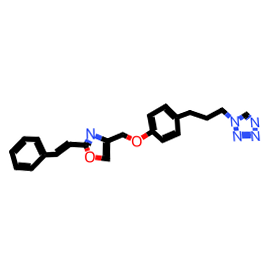 C(=C\c1nc(COc2ccc(CCCn3cnnn3)cc2)co1)/c1ccccc1